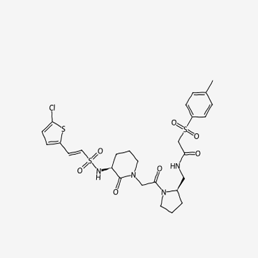 Cc1ccc(S(=O)(=O)CC(=O)NC[C@H]2CCCN2C(=O)CN2CCC[C@H](NS(=O)(=O)/C=C/c3ccc(Cl)s3)C2=O)cc1